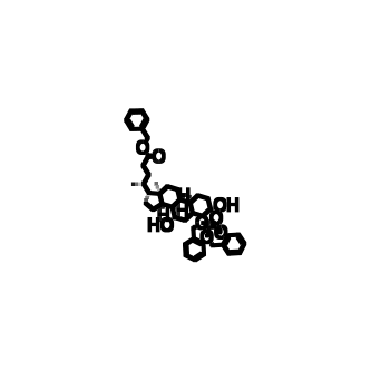 C[C@H](CCC(=O)OCc1ccccc1)[C@H]1CC[C@H]2[C@@H]3[C@@H](O)CC4C[C@](O)(OP(=O)(OCc5ccccc5)OCc5ccccc5)CC[C@]4(C)[C@H]3CC[C@]12C